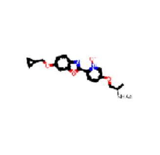 CC(=O)N[C@@H](C)COc1ccc(-c2nc3ccc(OCC4CC4)cc3o2)[n+]([O-])c1